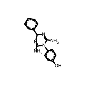 NC1=NC(c2ccccc2)N=C(N)N1c1ccc(O)cc1